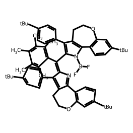 Cc1c(C)c(C)c(/C(=C2/N=C3C(=C2c2ccc(C(C)(C)C)cc2)CCOc2cc(C(C)(C)C)ccc23)c2c(-c3ccc(C(C)(C)C)cc3)c3c(n2B(F)F)-c2ccc(C(C)(C)C)cc2OCC3)c(C)c1C